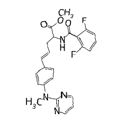 COC(=O)C(CC=Cc1ccc(N(C)c2ncccn2)cc1)NC(=O)c1c(F)cccc1F